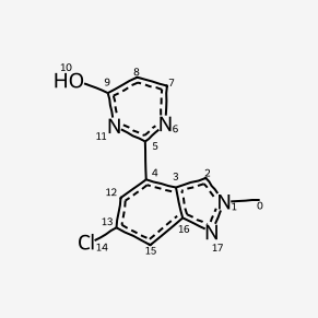 Cn1cc2c(-c3nccc(O)n3)cc(Cl)cc2n1